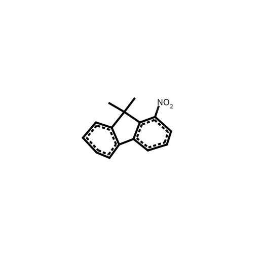 CC1(C)c2ccccc2-c2cccc([N+](=O)[O-])c21